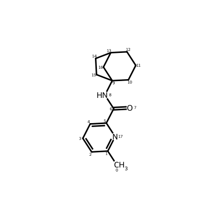 Cc1cccc(C(=O)NC23CCCC(CC2)C3)n1